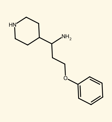 NC(CCOc1ccccc1)C1CCNCC1